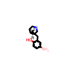 Bc1ccc(O)c(C[C@@H]2CN3CCC2CC3)c1